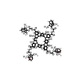 COc1cc(O)c2cc1C(c1ccc(C(=O)OCC(=O)OC34CC5CC(CC(C)(C5)C3)C4C)cc1)c1cc(c(OC)cc1O)C(c1ccc(C(=O)OCC(=O)OC34CC5CC(CC(C)(C5)C3)C4C)cc1)c1cc(c(CO)cc1O)C(c1ccc(C(=O)OCC(=O)OC34CC5CC(CC(C)(C5)C3)C4C)cc1)c1cc(c(CO)cc1O)C2c1ccc(C(=O)OCC(=O)OC23CC4CC(CC(C)(C4)C2)C3C)cc1